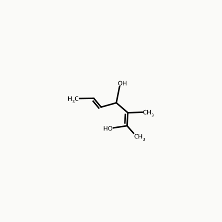 CC=CC(O)C(C)=C(C)O